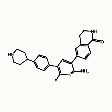 Nc1nc(F)c(-c2ccc(C3CCNCC3)cc2)cc1-c1ccc2c(c1)CCNC2=O